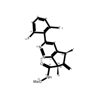 C=C1[C@H](C)c2cc(-c3c(F)cccc3F)nnc2[C@@]1(C)C(=O)NOC